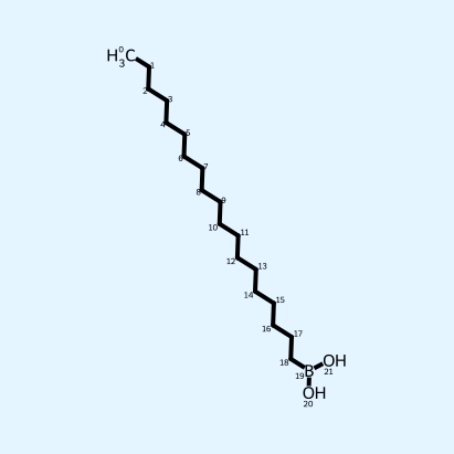 CCCCCCCCCCCCCCCCCCCB(O)O